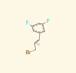 Fc1cc(F)cc(/C=C/CBr)c1